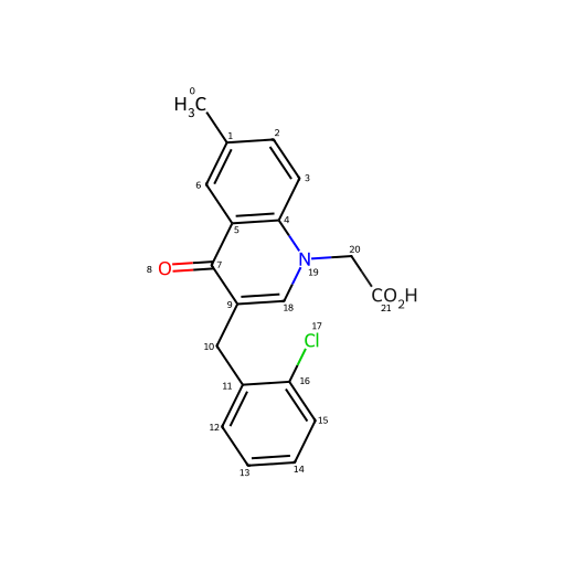 Cc1ccc2c(c1)c(=O)c(Cc1ccccc1Cl)cn2CC(=O)O